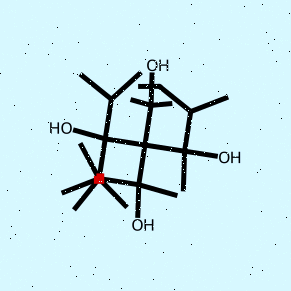 CCC(C)C(C)(O)C(C(C)(C)O)(C(C)(O)C(C)C)C(O)(C(C)C)C(C)C